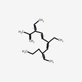 C=C(C)C(/C=C/C(=C\C(=C/C)CCC)CC)=C/C